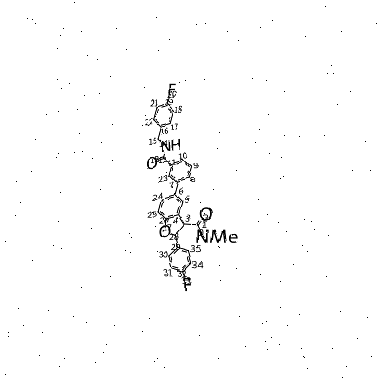 CNC(=O)C1c2cc(-c3cccc(C(=O)NCc4ccc(F)cc4)c3)ccc2OC1c1ccc(F)cc1